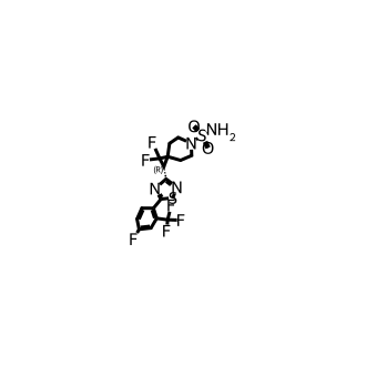 NS(=O)(=O)N1CCC2(CC1)[C@H](c1nsc(-c3ccc(F)cc3C(F)(F)F)n1)C2(F)F